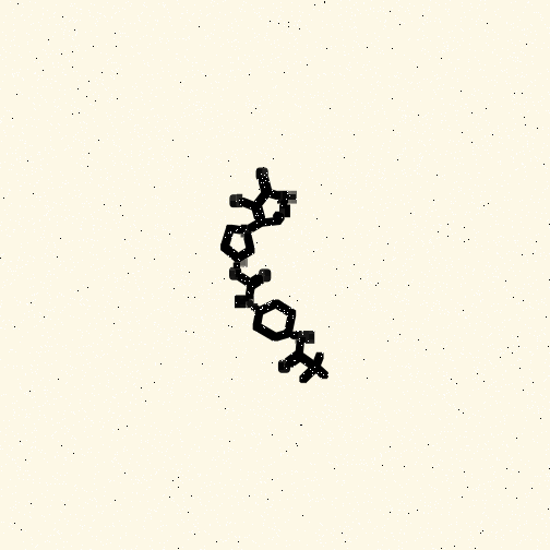 CC(C)(C)C(=O)N[C@H]1CC[C@H](NC(=O)O[C@@H]2CCN(c3cn[nH]c(=O)c3Cl)C2)CC1